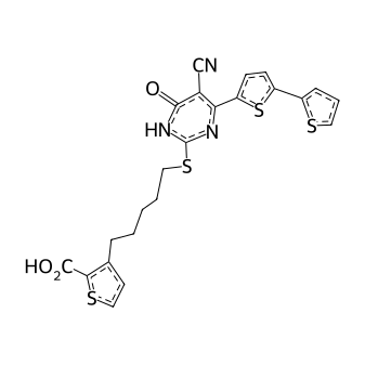 N#Cc1c(-c2ccc(-c3cccs3)s2)nc(SCCCCCc2ccsc2C(=O)O)[nH]c1=O